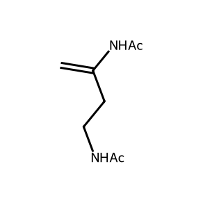 C=C(CCNC(C)=O)NC(C)=O